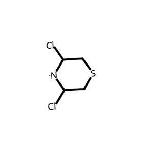 ClC1CSCC(Cl)[N]1